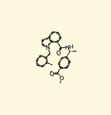 COC(=O)c1ccc([C@H](C)NC(=O)c2cccc3ccn(Cc4ccccc4C)c23)cc1